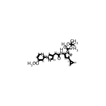 COc1ccnc(-n2cc(CC(=O)Nc3cc(C4CC4)nn3C(=O)OC(C)(C)C)cn2)c1